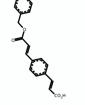 O=C(O)/C=C/c1ccc(/C=C/C(=O)OCc2ccccc2)cc1